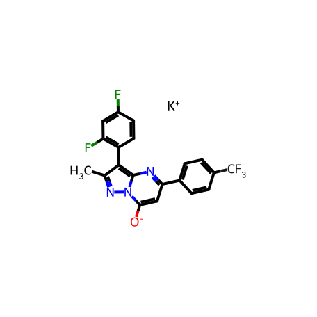 Cc1nn2c([O-])cc(-c3ccc(C(F)(F)F)cc3)nc2c1-c1ccc(F)cc1F.[K+]